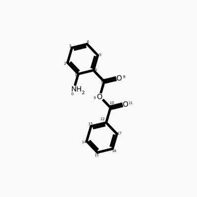 Nc1ccccc1C(=O)OC(=O)c1ccccc1